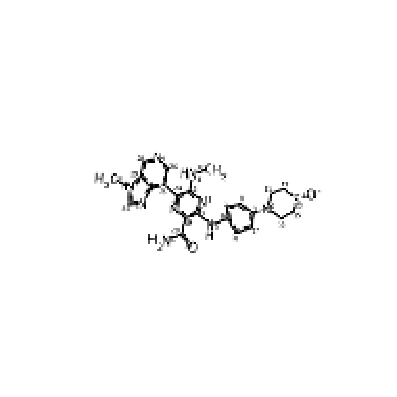 CNc1nc(Nc2ccc(N3CC[S+]([O-])CC3)cc2)c(C(N)=O)nc1-c1cncc2c1ncn2C